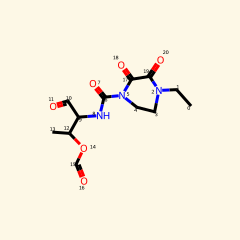 CCN1CCN(C(=O)NC([C]=O)C(C)OC=O)C(=O)C1=O